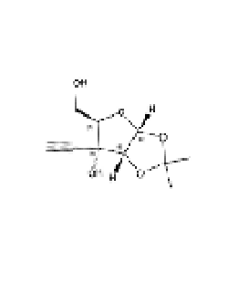 C#C[C@@]1(O)[C@@H](CO)O[C@@H]2OC(C)(C)O[C@@H]21